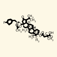 CC(=O)O[C@H](CNCc1ccc(F)cc1)[C@@]12CC[C@]3(C)[C@H](CC[C@@H]4[C@@]5(C)CC[C@H](OC(=O)CC(C)(C)C(=O)O)C(C)(C)[C@@H]5CC[C@]43C)C1=C(C(C)C)C(=O)C2